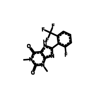 Cn1c(=O)c2[nH]c(-c3c(F)cccc3C(F)(F)F)nc2n(C)c1=O